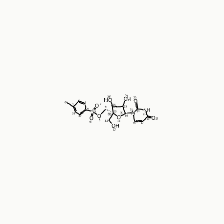 Cc1ccc(S(=O)(=O)OC[C@@]2(CO)O[C@H](n3ccc(=O)[nH]c3=O)C(O)C2O)cc1